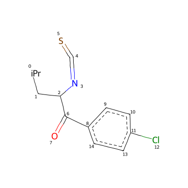 CC(C)CC(N=C=S)C(=O)c1ccc(Cl)cc1